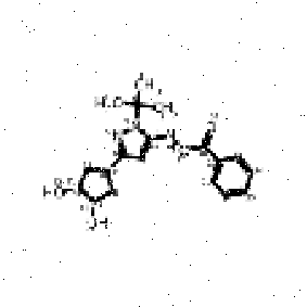 CC(C)(C)n1nc([C@H]2C[C@@H](O)[C@@H](O)C2)cc1NOC(=O)c1ccccc1